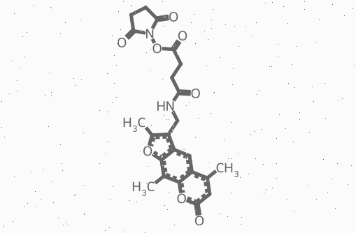 Cc1oc2c(C)c3oc(=O)cc(C)c3cc2c1CNC(=O)CCC(=O)ON1C(=O)CCC1=O